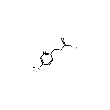 NC(=O)CCc1ccc([N+](=O)[O-])cn1